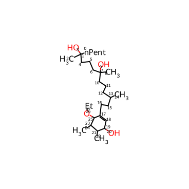 CCCCCC(C)(O)CCCC(C)(O)CCCC(C)CCC1=CC(O)C(C)C(C)C1OCC